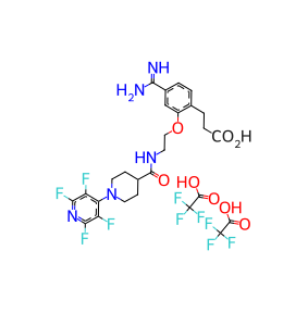 N=C(N)c1ccc(CCC(=O)O)c(OCCNC(=O)C2CCN(c3c(F)c(F)nc(F)c3F)CC2)c1.O=C(O)C(F)(F)F.O=C(O)C(F)(F)F